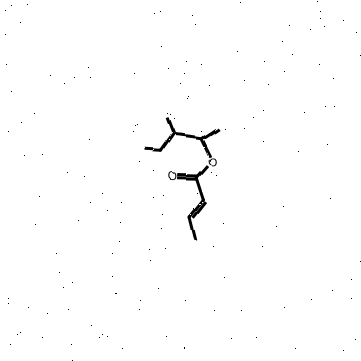 CC=CC(=O)OC(C)C(C)CC